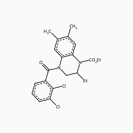 CCOC(=O)N1c2cc(C)c(C)cc2N(C(=O)c2cccc(Cl)c2Cl)CC1CC